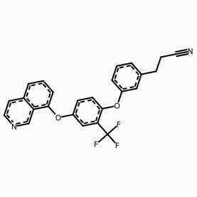 N#CCCc1cccc(Oc2ccc(Oc3cccc4ccncc34)cc2C(F)(F)F)c1